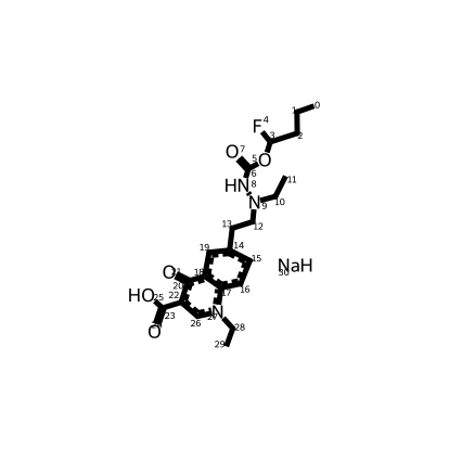 CCCC(F)OC(=O)NN(CC)CCc1ccc2c(c1)c(=O)c(C(=O)O)cn2CC.[NaH]